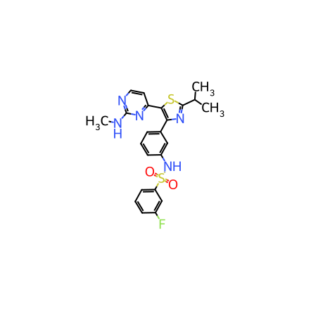 CNc1nccc(-c2sc(C(C)C)nc2-c2cccc(NS(=O)(=O)c3cccc(F)c3)c2)n1